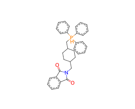 O=C1c2ccccc2C(=O)N1CC1CCC(C[PH](c2ccccc2)(c2ccccc2)c2ccccc2)CC1